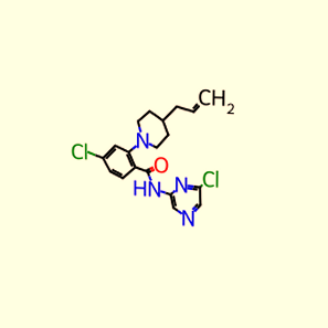 C=CCC1CCN(c2cc(Cl)ccc2C(=O)Nc2cncc(Cl)n2)CC1